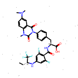 CC[C@@H](Nc1cc(F)c(C(=O)N[C@@H](Cc2ccc(-n3c(=O)c4cc(N(C)C)ccc4n(C)c3=O)cc2)C(=O)O)c(F)c1)C(F)(F)F